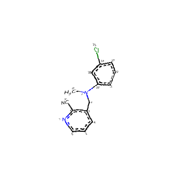 CN(Cc1cccnc1C#N)c1cccc(Cl)c1